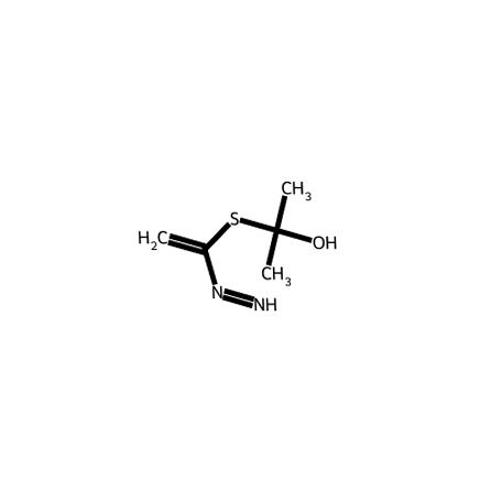 C=C(N=N)SC(C)(C)O